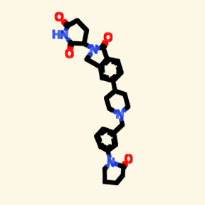 O=C1CCC(N2Cc3cc(C4CCN(Cc5cccc(N6CCCCC6=O)c5)CC4)ccc3C2=O)C(=O)N1